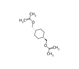 C=C(C)OC[C@H]1CC[C@H](COC(=C)C)CC1